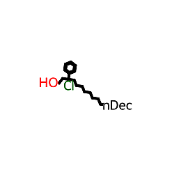 CCCCCCCCCCCCCCCCCCC(Cl)(CCO)c1ccccc1